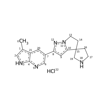 Cc1c[nH]c2ncc(-c3cc4n(n3)CCC43CCNC3)cc12.Cl